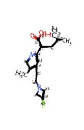 Cc1cnc(C(CC(C)C)C(=O)O)cc1CCN1CC(F)C1